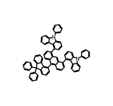 c1ccc(-n2c3ccccc3c3c(-c4cccc5c(-c6cccc7c6-c6ccccc6C7(c6ccccc6)c6ccccc6)c6cccc(-c7cccc8c7c7ccccc7n8-c7ccccc7)c6cc45)cccc32)cc1